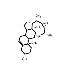 CC(C)[C@H](C)[C@H]1O[C@@H]1[C@@H](C)[C@H]1CCC2C3CC=C4C[C@@H](O)CC[C@]4(C)C3CC[C@@]21C